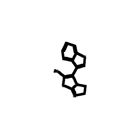 CC(=O)C1=C(c2csc3ccccc23)N2CCN=C2S1